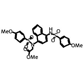 COC(=O)CN(c1ccc(NS(=O)(=O)c2ccc(OC)cc2)c2ccccc12)S(=O)(=O)c1ccc(OC)cc1